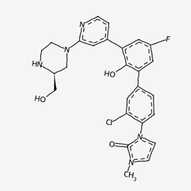 Cn1ccn(-c2ccc(-c3cc(F)cc(-c4ccnc(N5CCN[C@H](CO)C5)c4)c3O)cc2Cl)c1=O